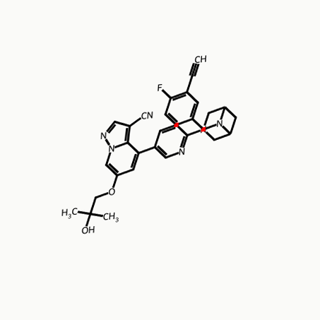 C#Cc1cc(CN2C3CC2CN(c2ccc(-c4cc(OCC(C)(C)O)cn5ncc(C#N)c45)cn2)C3)ccc1F